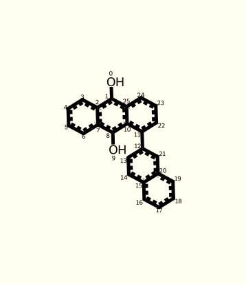 Oc1c2ccccc2c(O)c2c(-c3ccc4ccccc4c3)cccc12